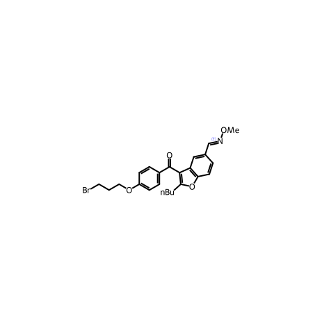 CCCCc1oc2ccc(/C=N/OC)cc2c1C(=O)c1ccc(OCCCBr)cc1